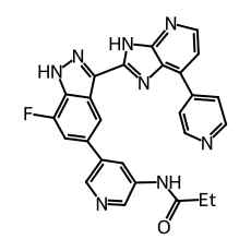 CCC(=O)Nc1cncc(-c2cc(F)c3[nH]nc(-c4nc5c(-c6ccncc6)ccnc5[nH]4)c3c2)c1